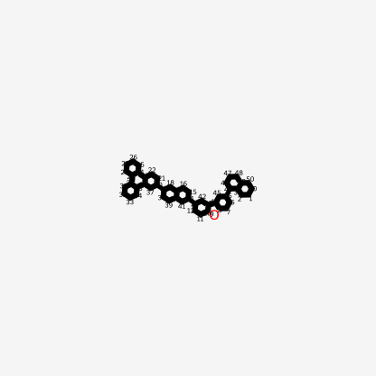 c1ccc2c(-c3ccc4oc5ccc(-c6ccc7cc(-c8ccc9c%10ccccc%10c%10ccccc%10c9c8)ccc7c6)cc5c4c3)cccc2c1